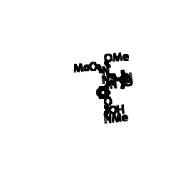 CNCC(O)COc1cccc(-c2nc(-c3c(C)noc3C)cc(N(CCOC)CCOC)n2)c1